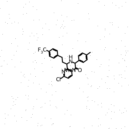 CNC(=O)C(NC(CCc1ccc(C(F)(F)F)cc1)c1cccc(Cl)n1)c1ccc(C)cc1